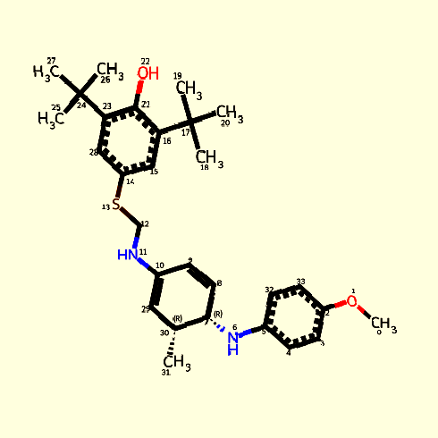 COc1ccc(N[C@H]2C=CC(NCSc3cc(C(C)(C)C)c(O)c(C(C)(C)C)c3)=C[C@H]2C)cc1